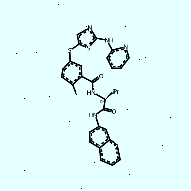 Cc1ccc(Sc2cnc(Nc3ccccn3)s2)cc1C(=O)N[C@H](C(=O)Nc1ccc2ccccc2c1)C(C)C